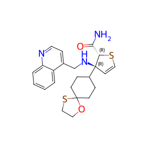 NC(=O)[C@@H]1SC=C[C@]1(NCc1ccnc2ccccc12)C1CCC2(CC1)OCCS2